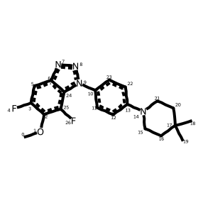 COc1c(F)cc2nnn(-c3ccc(N4CCC(C)(C)CC4)cc3)c2c1F